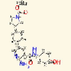 CC(C)(C)OC(=O)N1CCC(c2ccc(-c3cnc(N)c(C(=O)NC4CCC(O)CC4)c3)cc2)C1